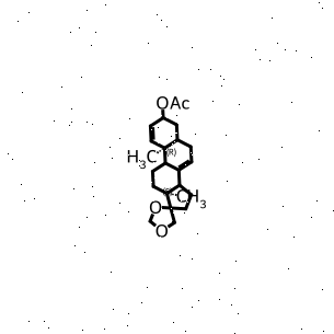 CC(=O)OC1C=C[C@@]2(C)C(CC=C3C2CC[C@@]2(C)C3CCC23COCO3)C1